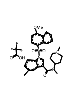 COc1ccc(S(=O)(=O)n2cc(C(=O)N(C)C3CCN(C)CC3)c3cc(C)ccc32)c2ccccc12.O=C(O)C(F)(F)F